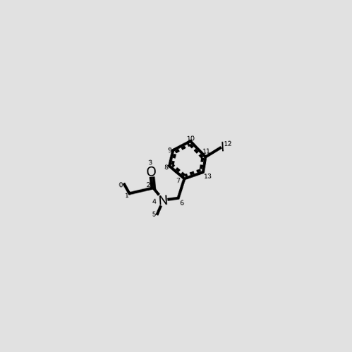 CCC(=O)N(C)Cc1cccc(I)c1